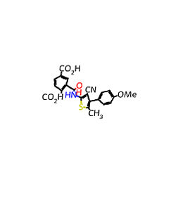 COc1ccc(-c2c(C)sc(NC(O)c3cc(C(=O)O)ccc3C(=O)O)c2C#N)cc1